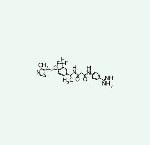 Cc1ncsc1CCOc1ccc(C(C)NC(=O)CC(=O)Nc2ccc(C(=N)N)cc2)cc1C(F)(F)F